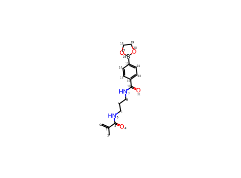 C=C(C)C(=O)NCCCNC(=O)c1ccc(B2OCCO2)cc1